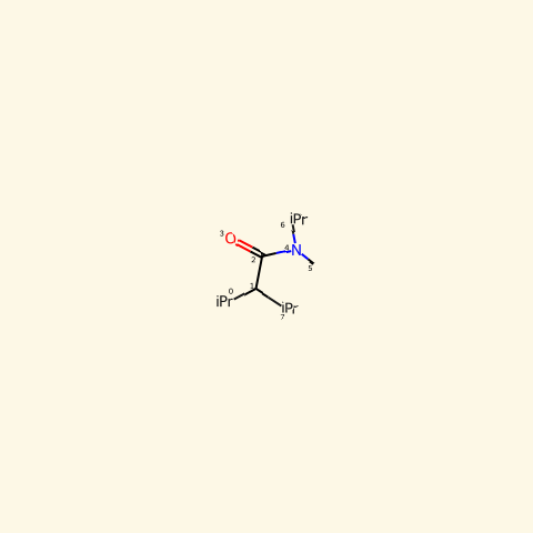 CC(C)C(C(=O)N(C)C(C)C)C(C)C